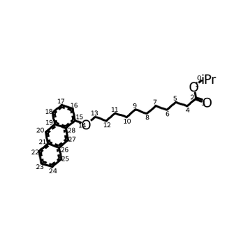 CC(C)OC(=O)CCCCCCCCCCOc1cccc2cc3ccccc3cc12